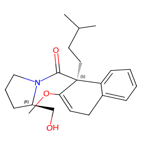 COC1=CCc2ccccc2[C@]1(CCC(C)C)C(=O)N1CCC[C@@H]1CO